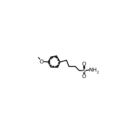 COc1ccc(CCCCS(N)(=O)=O)cc1